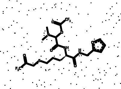 CN(C)C(OC(=O)C(F)(F)F)C(=O)N[C@@H](CCCSCC(=O)C(F)(F)F)C(=O)NCc1ccco1